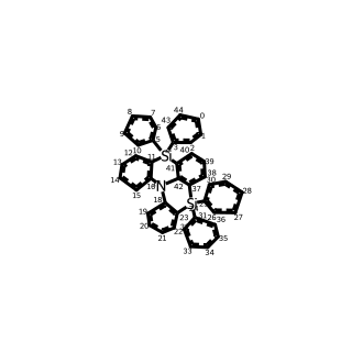 c1ccc([Si]2(c3ccccc3)c3ccccc3N3c4ccccc4[Si](c4ccccc4)(c4ccccc4)c4cccc2c43)cc1